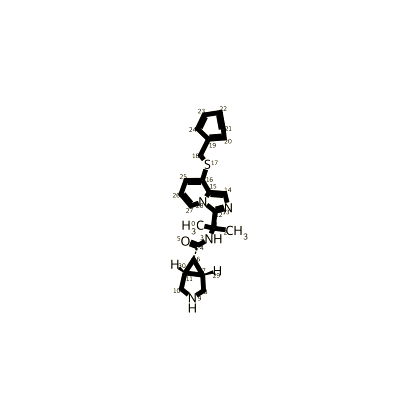 CC(C)(NC(=O)[C@@H]1[C@@H]2CNC[C@@H]21)c1ncc2c(SCc3ccccc3)cccn12